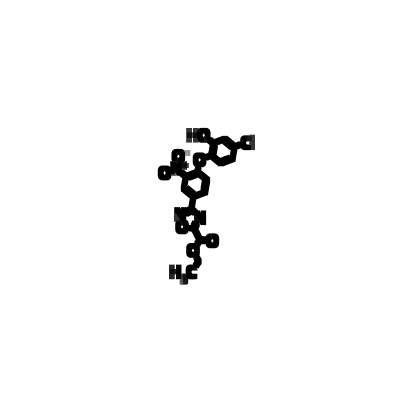 CCOC(=O)c1nc(-c2ccc(Oc3ccc(Cl)cc3O)c([N+](=O)[O-])c2)no1